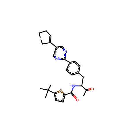 CC(=O)C(Cc1ccc(-c2ncc(C3=CCCCC3)cn2)cc1)NC(=O)c1ccc(C(C)(C)C)s1